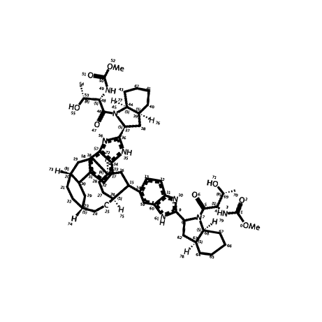 COC(=O)N[C@H](C(=O)N1C(c2nc3ccc(C4C[C@@H]5CC[C@H]6CC[C@@H](CC[C@H]4CC5)CC6c4ccc5[nH]c([C@@H]6C[C@@H]7CCCC[C@@H]7N6C(=O)[C@@H](NC(=O)OC)[C@@H](C)O)nc5c4)cc3[nH]2)C[C@@H]2CCCC[C@@H]21)[C@@H](C)O